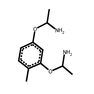 Cc1ccc(OC(C)N)cc1OC(C)N